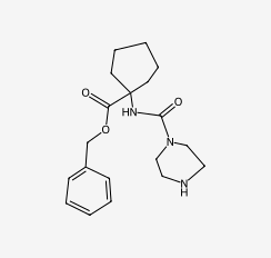 O=C(NC1(C(=O)OCc2ccccc2)CCCCC1)N1CCNCC1